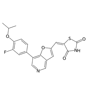 CC(C)Oc1ccc(-c2cncc3cc(C=C4SC(=O)NC4=O)oc23)cc1F